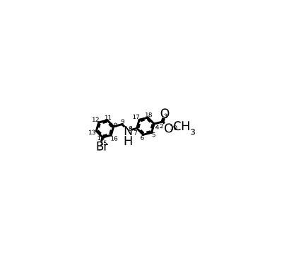 COC(=O)c1ccc(NCc2cccc(Br)c2)cc1